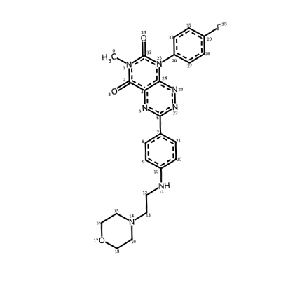 Cn1c(=O)c2nc(-c3ccc(NCCN4CCOCC4)cc3)nnc2n(-c2ccc(F)cc2)c1=O